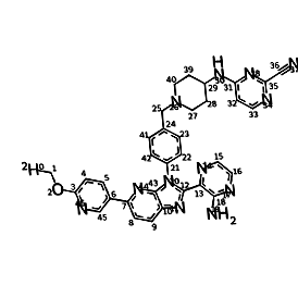 [2H]COc1ccc(-c2ccc3nc(-c4nccnc4N)n(-c4ccc(CN5CCC(Nc6ccnc(C#N)n6)CC5)cc4)c3n2)cn1